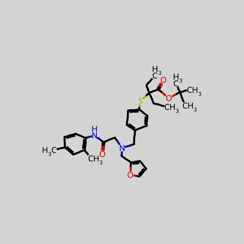 CCC(CC)(Sc1ccc(CN(CC(=O)Nc2ccc(C)cc2C)Cc2ccco2)cc1)C(=O)OC(C)(C)C